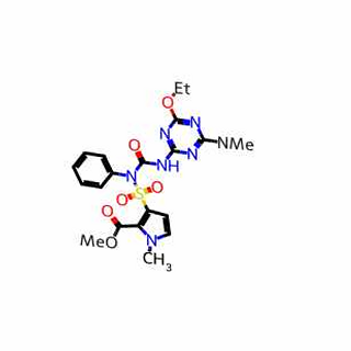 CCOc1nc(NC)nc(NC(=O)N(c2ccccc2)S(=O)(=O)c2ccn(C)c2C(=O)OC)n1